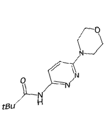 CC(C)(C)C(=O)Nc1ccc(N2CCOCC2)nn1